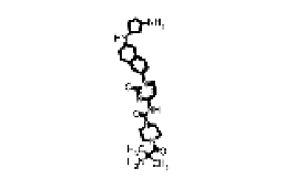 CC(C)(N)C(=O)N1CCN(C(=O)Nc2ccn(-c3ccc4c(c3)CCC(N[C@H]3CC[C@@H](N)C3)C4)c(=O)n2)CC1